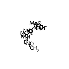 C=CC(=O)N1CCCC(n2nc(-c3ccc(CNC(=O)c4ccc(F)cc4OC)cc3)c3c(N)ncnc32)C1